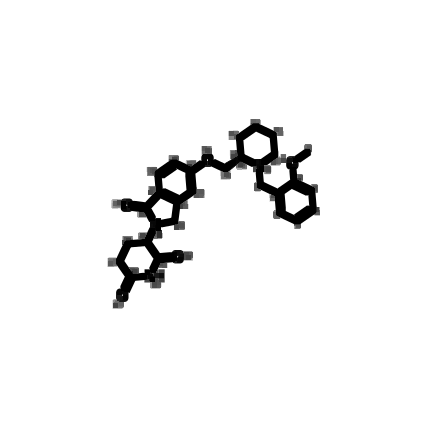 COc1ccccc1CN1CCCC[C@@H]1COc1ccc2c(c1)CN(C1CCC(=O)NC1=O)C2=O